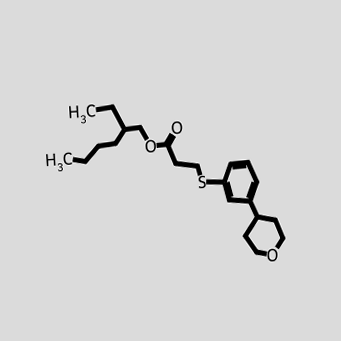 CCCCC(CC)COC(=O)CCSc1cccc(C2CCOCC2)c1